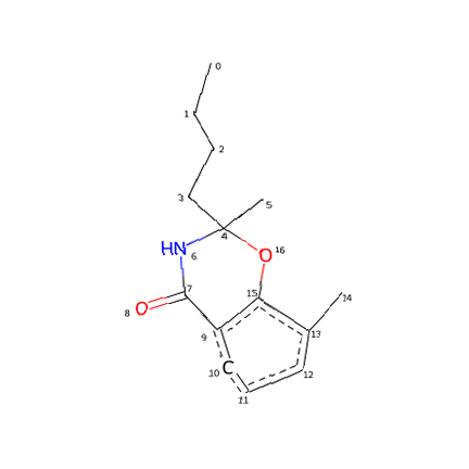 CCCCC1(C)NC(=O)c2cccc(C)c2O1